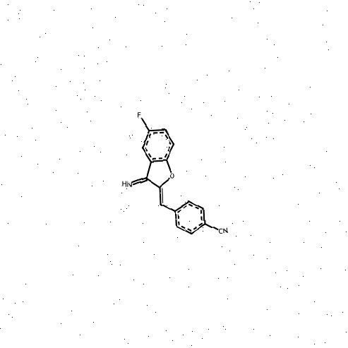 N#Cc1ccc(/C=C2\Oc3ccc(F)cc3C2=N)cc1